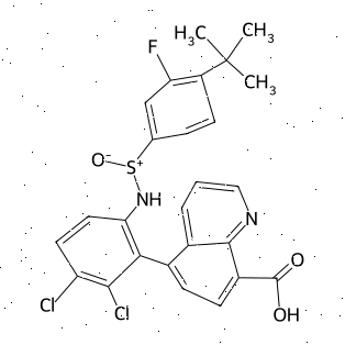 CC(C)(C)c1ccc([S+]([O-])Nc2ccc(Cl)c(Cl)c2-c2ccc(C(=O)O)c3ncccc23)cc1F